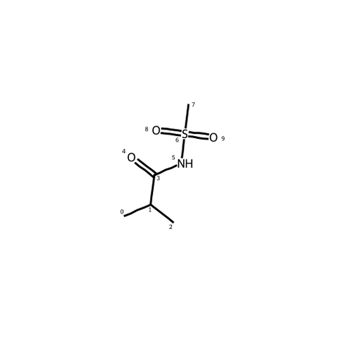 CC(C)C(=O)NS(C)(=O)=O